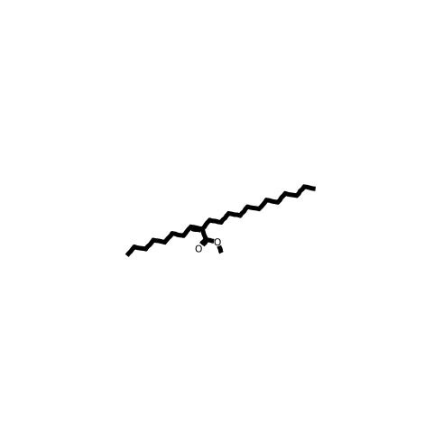 CCCCCCCC=C(CCCCCCCCCCCC)C(=O)OC